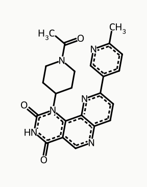 CC(=O)N1CCC(n2c(=O)[nH]c(=O)c3cnc4ccc(-c5ccc(C)nc5)nc4c32)CC1